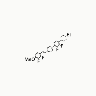 CCC1CCC(c2ccc(-c3ccc(/C=C/c4ccc(OC)c(F)c4F)cc3)c(F)c2F)CC1